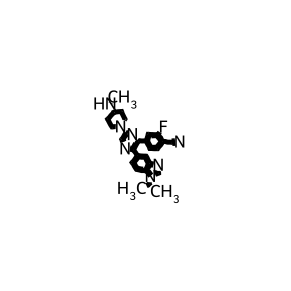 CNC1CCN(c2cnc(-c3ccc4c(c3)ncn4C(C)C)c(-c3ccc(C#N)c(F)c3)n2)CC1